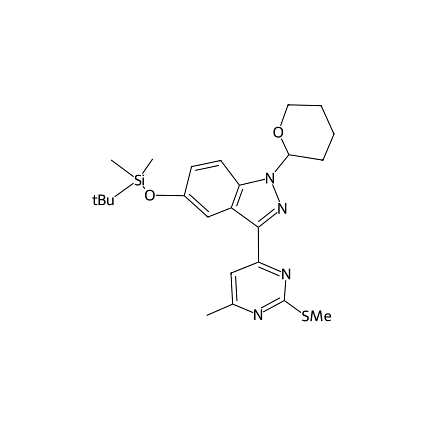 CSc1nc(C)cc(-c2nn(C3CCCCO3)c3ccc(O[Si](C)(C)C(C)(C)C)cc23)n1